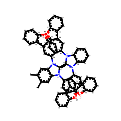 Cc1cc2c(cc1C)N(c1ccc3oc4ccccc4c3c1)C(=C1N(c3ccc4oc5ccccc5c4c3)c3ccccc3N1c1ccc3oc4ccccc4c3c1)N2c1ccc2oc3ccccc3c2c1